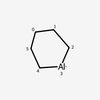 C1C[CH2][Al][CH2]C1